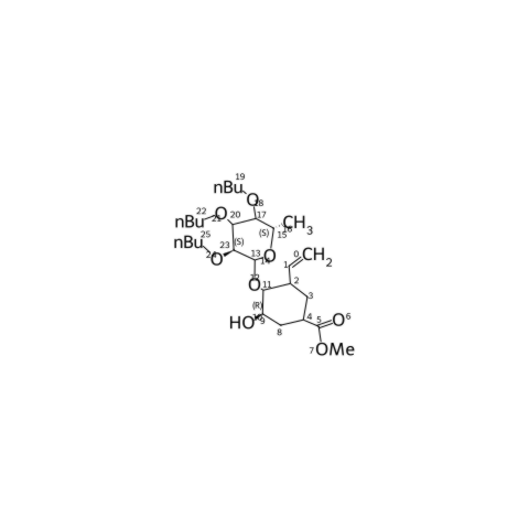 C=CC1CC(C(=O)OC)C[C@@H](O)C1OC1O[C@@H](C)C(OCCCC)C(OCCCC)[C@@H]1OCCCC